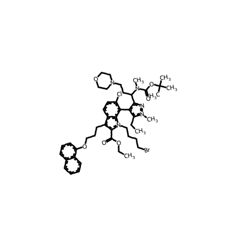 CCOC(=O)c1c(CCCOc2cccc3ccccc23)c2ccc(Cl)c(-c3c(C(CCN4CCOCC4)N(C)C(=O)OC(C)(C)C)nn(C)c3CC)c2n1CCCCBr